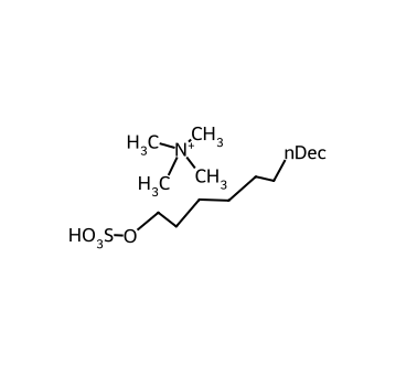 CCCCCCCCCCCCCCCCOS(=O)(=O)O.C[N+](C)(C)C